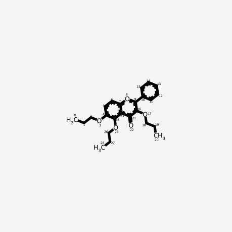 CCCOc1ccc2oc(-c3ccccc3)c(OCCC)c(=O)c2c1OCCC